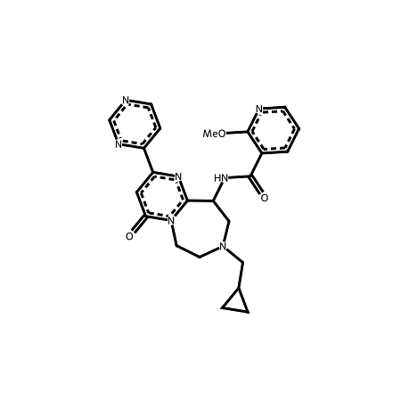 COc1ncccc1C(=O)NC1CN(CC2CC2)CCn2c1nc(-c1ccncn1)cc2=O